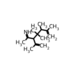 C=C(C)C(C)C(C)(C)C(C(=C)C)C(C)=N